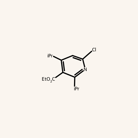 CCOC(=O)c1c(C(C)C)cc(Cl)nc1C(C)C